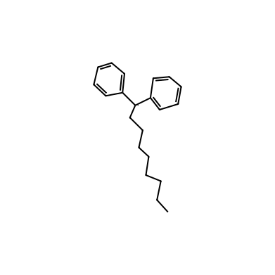 CCCCCCCC[C](c1ccccc1)c1ccccc1